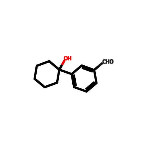 O=Cc1cccc(C2(O)CCCCC2)c1